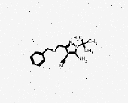 CC(C)(C)n1nc(COCc2ccccc2)c(C#N)c1N